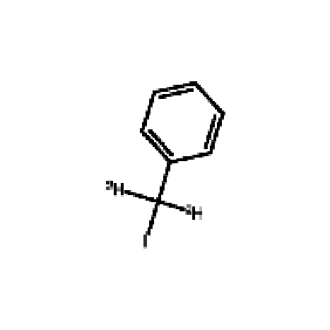 [2H]C([2H])(I)c1ccccc1